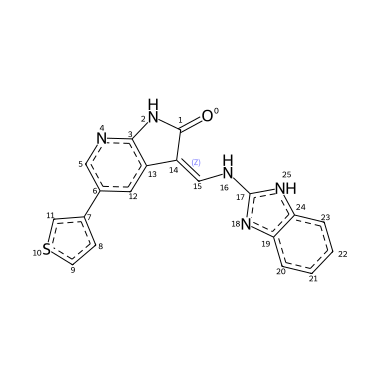 O=C1Nc2ncc(-c3ccsc3)cc2/C1=C/Nc1nc2ccccc2[nH]1